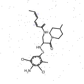 C=C(/C=C\C=C/C)NCC(NSc1cc(Cl)c(N)c(Cl)c1C)C(=O)N1CCC(C)CC1